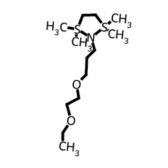 CCOCCOCCCN1S(C)(C)CCS1(C)C